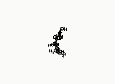 CC(N)C1(C)CCN(c2ncc(Sc3ccnc(N4CC(CO)C4)c3Cl)nc2CO)CC1